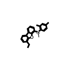 CCc1cccc2c1oc1c(N(I)c3ccc(C)cc3C)cccc12